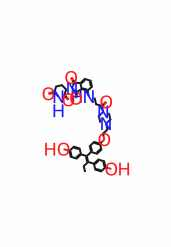 CCC(=C(c1ccc(O)cc1)c1ccc(OCCN2CCN(C(=O)CCNc3cccc4c3C(=O)N(C3CCC(=O)NC3=O)C4=O)CC2)cc1)c1ccc(O)cc1